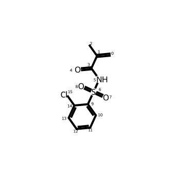 C=C(C)C(=O)NS(=O)(=O)c1ccccc1Cl